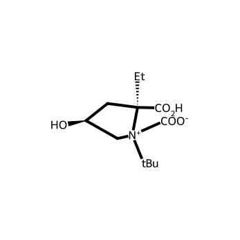 CC[C@@]1(C(=O)O)C[C@H](O)C[N+]1(C(=O)[O-])C(C)(C)C